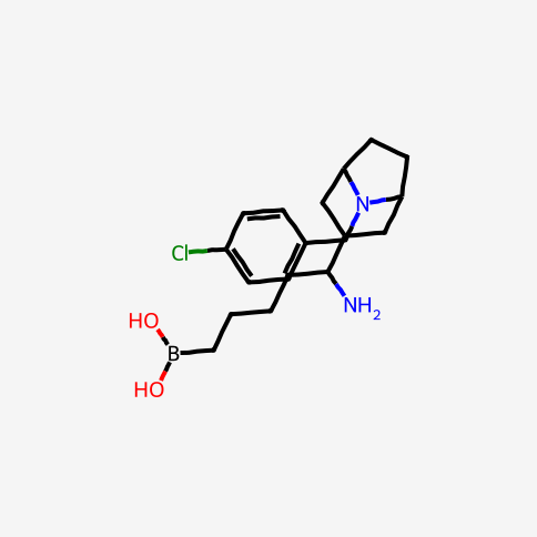 NC(CCCCB(O)O)C1CC2CCC(C1)N2Cc1ccc(Cl)cc1